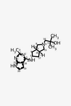 Cc1nc(N[C@@H]2C[C@@H]3CN(CC(C)(C)O)C[C@@H]3C2)c2cc[nH]c2n1